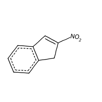 O=[N+]([O-])C1=Cc2ccccc2C1